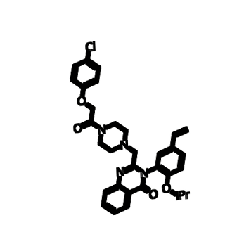 C=Cc1ccc(OC(C)C)c(-n2c(CN3CCN(C(=O)COc4ccc(Cl)cc4)CC3)nc3ccccc3c2=O)c1